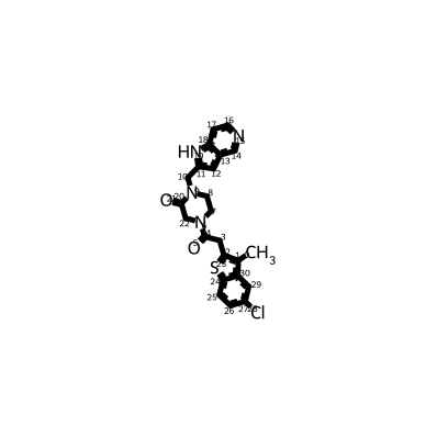 Cc1c(CC(=O)N2CCN(Cc3cc4cnccc4[nH]3)C(=O)C2)sc2ccc(Cl)cc12